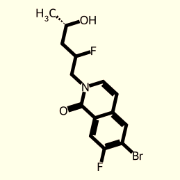 C[C@H](O)CC(F)Cn1ccc2cc(Br)c(F)cc2c1=O